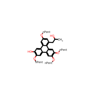 CCCCCOc1cc(CC(C)O)c2c(c1)c1cc(O)c(OCCCCC)cc1c1cc(OCCCCC)c(OCCCCC)cc12